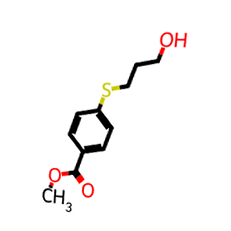 COC(=O)c1ccc(SCCCO)cc1